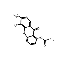 CC(=O)Oc1cccc2oc3c(C)c(C)ccc3c(=O)c12